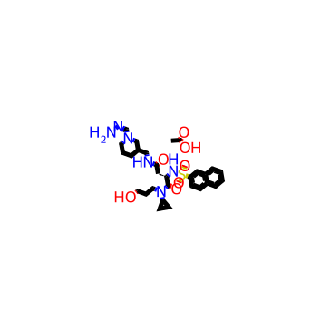 CC(=O)O.N/N=C\N1CCCC(CNC(=O)C[C@H](NS(=O)(=O)c2ccc3ccccc3c2)C(=O)N(CCCO)C2CC2)C1